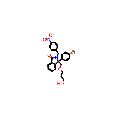 O=C1c2ccccc2C(COCCCO)(c2ccc(Br)cc2)N1Cc1ccc([N+](=O)[O-])cc1